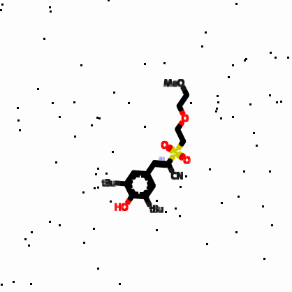 COCCOCCS(=O)(=O)/C(C#N)=C/c1cc(C(C)(C)C)c(O)c(C(C)(C)C)c1